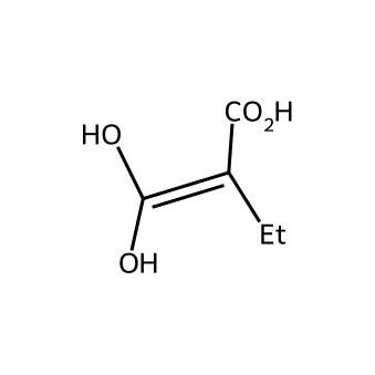 CCC(C(=O)O)=C(O)O